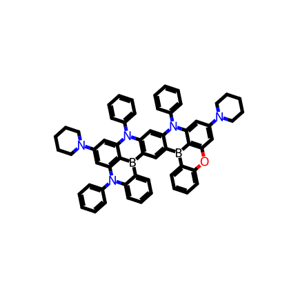 c1ccc(N2c3cc4c(cc3B3c5ccccc5Oc5cc(N6CCCCC6)cc2c53)B2c3ccccc3N(c3ccccc3)c3cc(N5CCCCC5)cc(c32)N4c2ccccc2)cc1